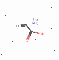 Br.C=CC(=O)O.N